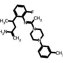 C=C(N)CC(C)c1cccc(F)c1/N=C(\C)N1CCN(c2cccc(C)c2)CC1